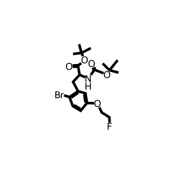 CC(C)(C)OC(=O)NC(Cc1cc(OCCF)ccc1Br)C(=O)OC(C)(C)C